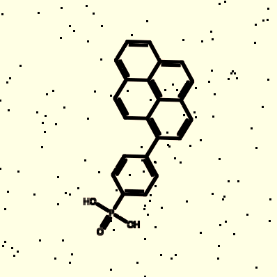 O=P(O)(O)c1ccc(-c2ccc3ccc4cccc5ccc2c3c45)cc1